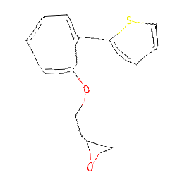 c1csc(-c2ccccc2OCC2CO2)c1